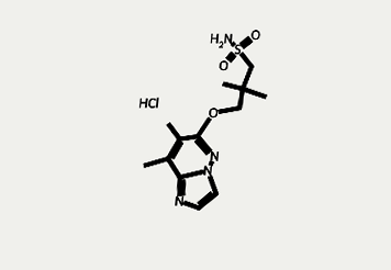 Cc1c(OCC(C)(C)CS(N)(=O)=O)nn2ccnc2c1C.Cl